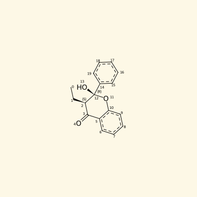 CC[C@@H]1C(=O)c2ccccc2O[C@@]1(O)c1ccccc1